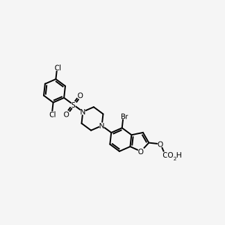 O=C(O)Oc1cc2c(Br)c(N3CCN(S(=O)(=O)c4cc(Cl)ccc4Cl)CC3)ccc2o1